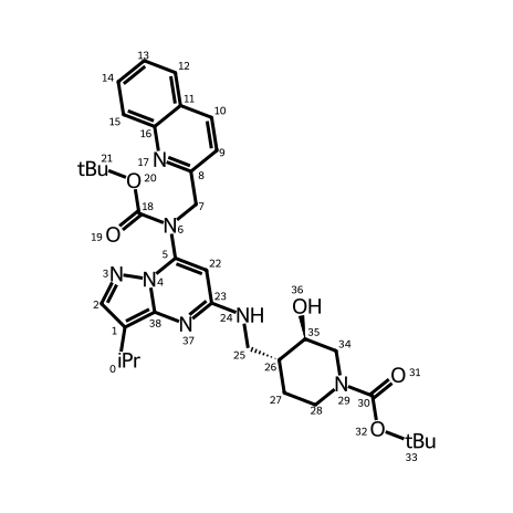 CC(C)c1cnn2c(N(Cc3ccc4ccccc4n3)C(=O)OC(C)(C)C)cc(NC[C@H]3CCN(C(=O)OC(C)(C)C)C[C@@H]3O)nc12